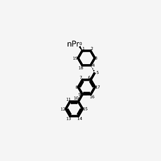 CCC[C@H]1CC[C@H](Cc2ccc(-c3ccccc3)cc2)CC1